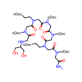 CCCCCCCCCCCCN(CC(=O)N(CCCCCCCCCC)CC(N)=O)C(=O)CN(CCCCCCCCCC)C(=O)CN(CCCCCCCCCC)C(=O)CN(CCCCCCCCCCCC)C(=O)CN(CCCCCCCCCC)C(=O)CNC(CO)CO